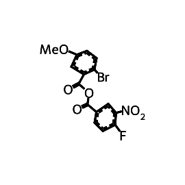 COc1ccc(Br)c(C(=O)OC(=O)c2ccc(F)c([N+](=O)[O-])c2)c1